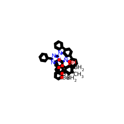 Bc1c(B)c(-c2c(-c3ccccc3)cccc2-n2c3ccccc3c3ccc4c5ccccc5n(-c5nc(-c6ccccc6)nc(-c6ccc(C(C)(C)C)cc6)n5)c4c32)c(O)c(B)c1C